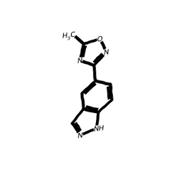 Cc1nc(-c2ccc3[nH]ncc3c2)no1